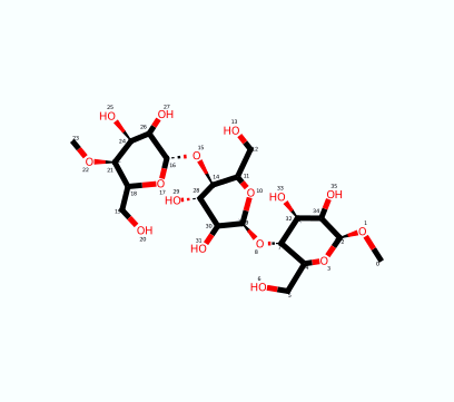 CO[C@H]1OC(CO)[C@H](O[C@@H]2OC(CO)[C@H](O[C@@H]3OC(CO)[C@@H](OC)[C@@H](O)C3O)[C@@H](O)C2O)[C@@H](O)C1O